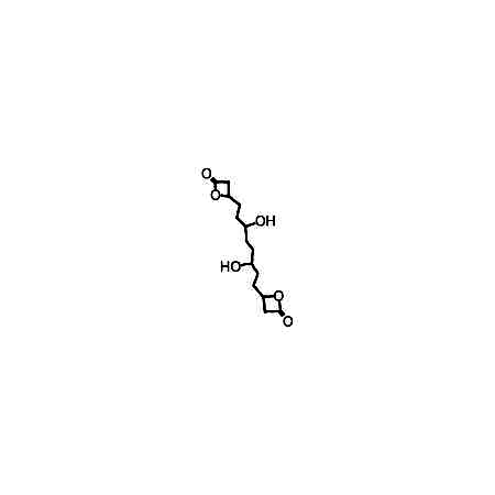 O=C1CC(CCC(O)CCC(O)CCC2CC(=O)O2)O1